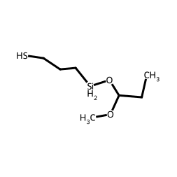 CCC(OC)O[SiH2]CCCS